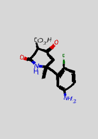 CC1(c2cc(N)ccc2F)CC(=O)C(C(=O)O)C(=O)N1